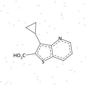 O=C(O)c1sc2cccnc2c1C1CC1